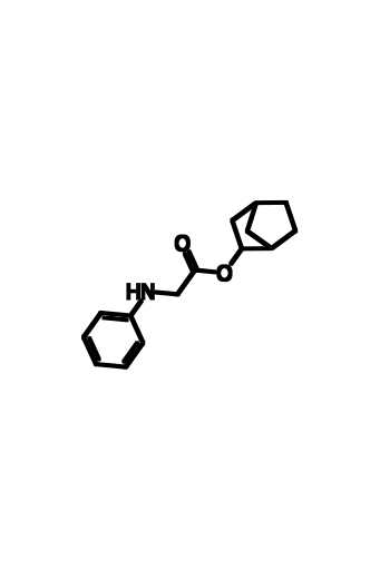 O=C(CNc1ccccc1)OC1CC2CCC1C2